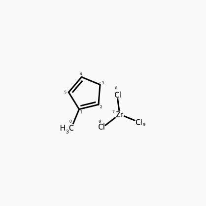 CC1=C[CH]C=C1.[Cl][Zr]([Cl])[Cl]